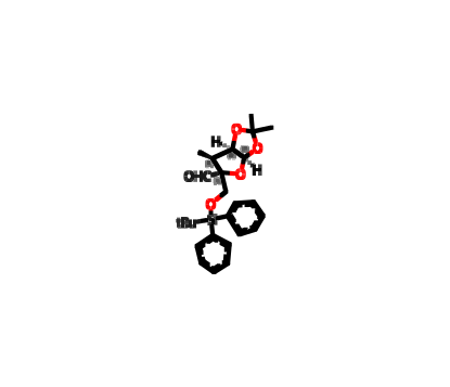 C[C@H]1[C@H]2OC(C)(C)O[C@H]2O[C@]1(C=O)CO[Si](c1ccccc1)(c1ccccc1)C(C)(C)C